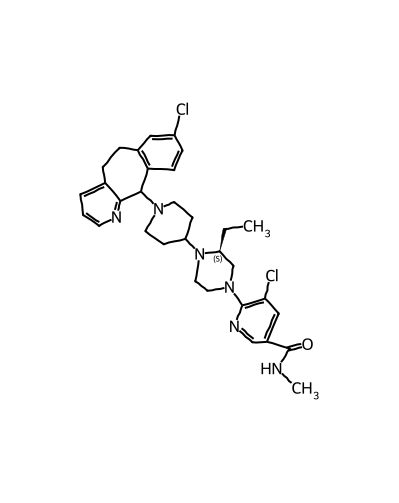 CC[C@H]1CN(c2ncc(C(=O)NC)cc2Cl)CCN1C1CCN(C2c3ccc(Cl)cc3CCc3cccnc32)CC1